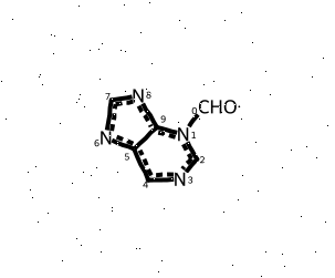 O=[C]n1cncc2ncnc1-2